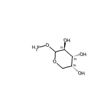 O[C@@H]1[C@H](O)COC(OP)[C@H]1O